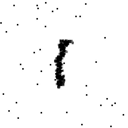 C[C@H]1CN(Cc2ccc3c(c2)n(C)c(=O)n3C2CCC(=O)NC2=O)CCN1CC1CCN(C(=O)c2ccc(C3CCN([C@@H](C)c4cc5c(-c6ccc(N)nc6C#N)ccnc5n4C)CC3)cc2)CC1